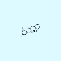 Cc1cc(C)cc(C[C@@H]2Nc3ccccc3CC2=O)c1